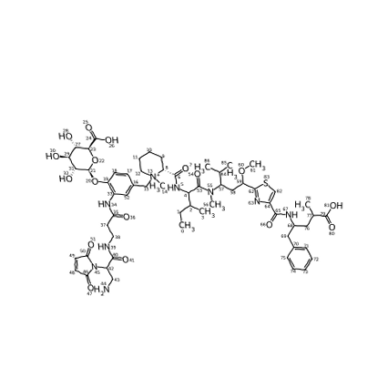 CCC(C)C(NC(=O)[C@H]1CCCC[N+]1(C)Cc1ccc(O[C@@H]2O[C@H](C(=O)O)[C@@H](O)[C@H](O)[C@H]2O)c(NC(=O)CCNC(=O)C(CN)N2C(=O)C=CC2=O)c1)C(=O)N(C)C(CC(OC)c1nc(C(=O)NC(Cc2ccccc2)CC(C)C(=O)O)cs1)C(C)C